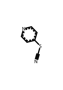 N#CSc1ccncc1